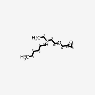 CCCCCC[SiH](CC)CCOCC1CO1